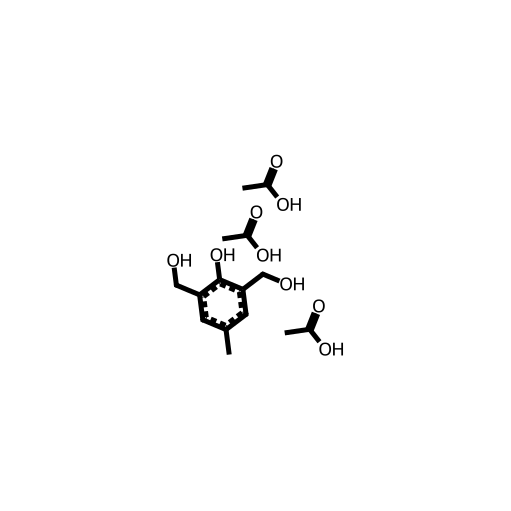 CC(=O)O.CC(=O)O.CC(=O)O.Cc1cc(CO)c(O)c(CO)c1